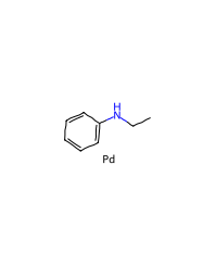 CCNc1ccccc1.[Pd]